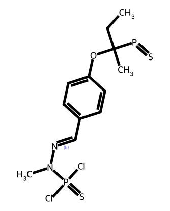 CCC(C)(Oc1ccc(/C=N/N(C)P(=S)(Cl)Cl)cc1)P=S